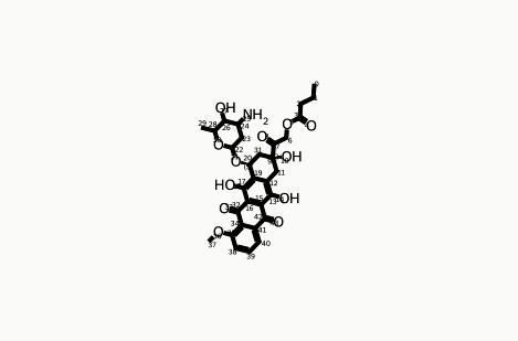 CCCC(=O)OCC(=O)[C@]1(O)Cc2c(O)c3c(c(O)c2[C@@H](OC2CC(N)C(O)C(C)O2)C1)C(=O)c1c(OC)cccc1C3=O